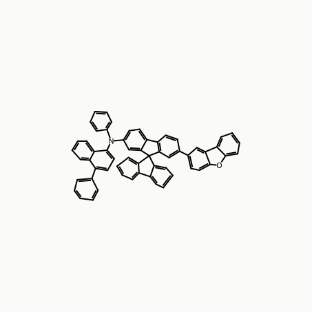 c1ccc(-c2ccc(N(c3ccccc3)c3ccc4c(c3)C3(c5ccccc5-c5ccccc53)c3cc(-c5ccc6oc7ccccc7c6c5)ccc3-4)c3ccccc23)cc1